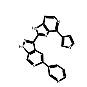 c1cncc(-c2cc3c(-c4nc5c(-c6ccoc6)nccc5[nH]4)n[nH]c3cn2)c1